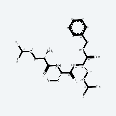 CC(C)C[C@H](NC(=O)[C@@H](N)COC(F)F)C(=O)N[C@@H](COC(F)F)C(=O)OCc1ccccc1